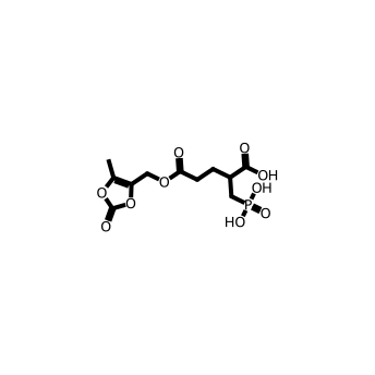 Cc1oc(=O)oc1COC(=O)CCC(CP(=O)(O)O)C(=O)O